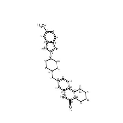 Cc1ccc2oc(N3CCN(Cc4ccc5c6c(c(=O)[nH]c5c4)CCCN6)CC3)nc2c1